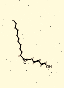 CCCCCCCCCCCC1OC1CC=CC=CO